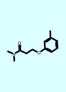 Cc1[c]ccc(OCCC(=O)N(C)C)c1